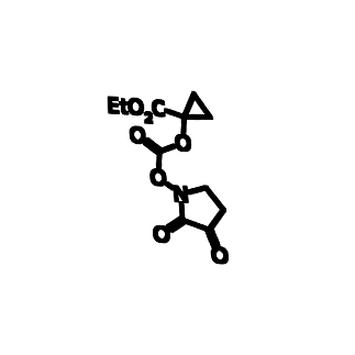 CCOC(=O)C1(OC(=O)ON2CCC(=O)C2=O)CC1